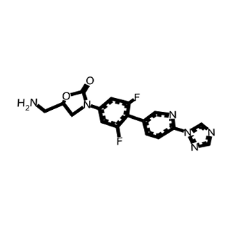 NCC1CN(c2cc(F)c(-c3ccc(-n4cncn4)nc3)c(F)c2)C(=O)O1